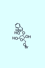 O[C@@H]1[C@@H](Oc2cc3ccccc3[nH]2)[C@@H](O)[C@@H](COBr)O[C@H]1O